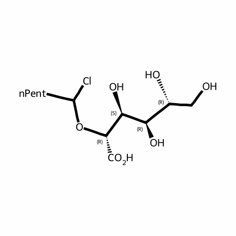 CCCCCC(Cl)O[C@@H](C(=O)O)[C@@H](O)[C@H](O)[C@H](O)CO